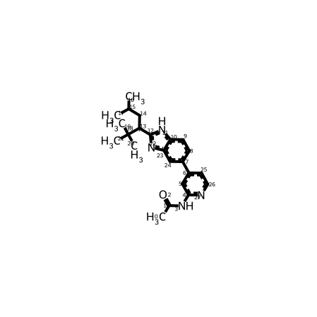 CC(=O)Nc1cc(-c2ccc3[nH]c([C](CC(C)C)C(C)(C)C)nc3c2)ccn1